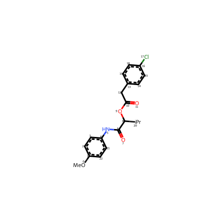 COc1ccc(NC(=O)C(OC(=O)Cc2ccc(Cl)cc2)C(C)C)cc1